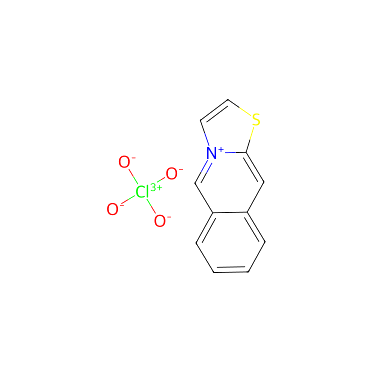 [O-][Cl+3]([O-])([O-])[O-].c1ccc2c[n+]3ccsc3cc2c1